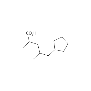 CC(CC1CCCC1)CC(C)C(=O)O